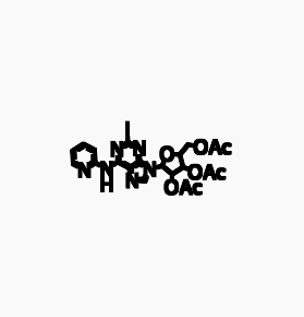 CC(=O)OCC1OC(n2cnc3c(Nc4ccccn4)nc(I)nc32)C(OC(C)=O)C1OC(C)=O